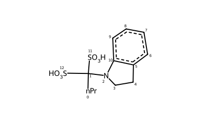 CCCC(N1CCc2ccccc21)(S(=O)(=O)O)S(=O)(=O)O